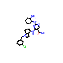 NC(=O)c1cnc(NC2CCCCC2N)nc1Nc1cccc2c1ccn2Cc1cccc(Cl)c1